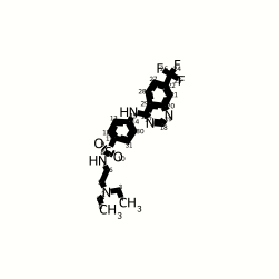 CCN(CC)CCNS(=O)(=O)c1ccc(Nc2ncnc3cc(C(F)(F)F)ccc23)cc1